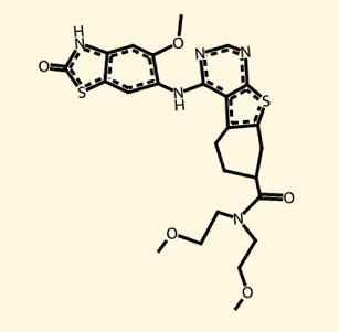 COCCN(CCOC)C(=O)C1CCc2c(sc3ncnc(Nc4cc5sc(=O)[nH]c5cc4OC)c23)C1